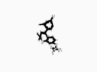 Cc1cc(Cl)ccc1C1=CC(C)(C)Oc2cc(OS(=O)(=O)C(F)(F)F)ccc21